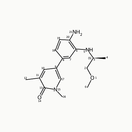 COC[C@H](C)Nc1cc(-c2cc(C)c(=O)n(C)c2)ccc1N